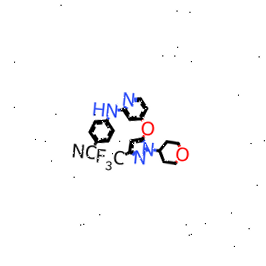 N#Cc1ccc(Nc2cc(Oc3cc(C(F)(F)F)nn3C3CCOCC3)ccn2)cc1